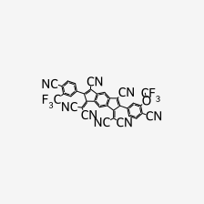 N#CC(C#N)=C1C(c2ccc(C#N)c(OC(F)(F)F)c2)=C(C#N)c2cc3c(cc21)C(=C(C#N)C#N)C(c1ccc(C#N)c(C(F)(F)F)c1)=C3C#N